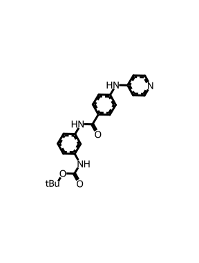 CC(C)(C)OC(=O)Nc1cccc(NC(=O)c2ccc(Nc3ccncc3)cc2)c1